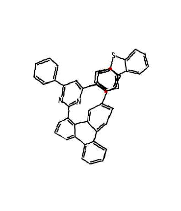 c1ccc(-c2cc(-c3ccccc3)nc(-c3cccc4c5ccccc5c5ccc(-c6ccc7sc8ccccc8c7c6)cc5c34)n2)cc1